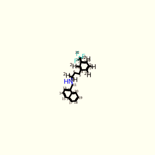 [2H]c1c([2H])c(CCC([2H])([2H])NCc2cccc3ccccc23)c([2H])c(C(F)(F)F)c1[2H]